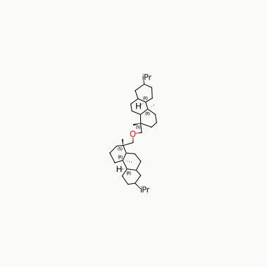 CC(C)C1CC[C@@H]2C(CCC3[C@@](C)(COC[C@@]4(C)CCC[C@@]5(C)C4CCC4CC(C(C)C)CC[C@H]45)CCC[C@@]32C)C1